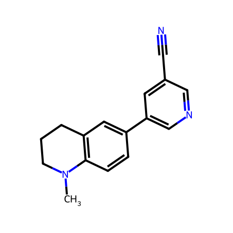 CN1CCCc2cc(-c3cncc(C#N)c3)ccc21